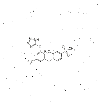 CS(=O)(=O)c1ccc(Cc2cc(Oc3nnn[nH]3)cc(C(F)(F)F)c2)c(C(F)(F)F)c1